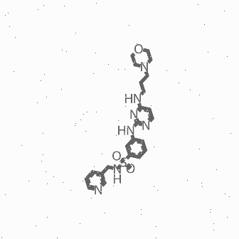 O=S(=O)(NCc1cccnc1)c1cccc(Nc2nccc(NCCCN3CCOCC3)n2)c1